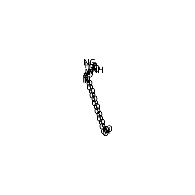 N#Cc1cccc(N2C(=O)NC3(CCN(C(=O)Nc4cccc(-c5cn(CCOCCOCCOCCOCCOCCOCCOCCOCCOCCOCCOCCOCCC(=O)ON6C(=O)CCC6=O)nn5)c4)CC3)C2=O)c1